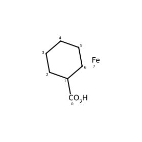 O=C(O)C1CCCCC1.[Fe]